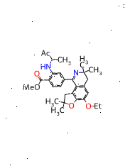 CCOc1cc2c(c3c1OC(C)(C)C3)C(c1ccc(C(=O)OC)c(NC(C)C(C)=O)c1)=NC(C)(C)C2